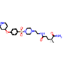 C[C@@H](C[CH]C(=O)NCCN1CCN(S(=O)(=O)c2ccc(OC3CCNCC3)cc2)CC1)C(N)=O